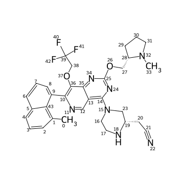 Cc1cccc2cccc(-c3ncc4c(N5CCN[C@@H](CC#N)C5)nc(OC[C@@H]5CCCN5C)nc4c3OCC(F)(F)F)c12